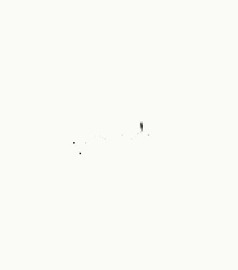 CC(=O)COCCC1CC1